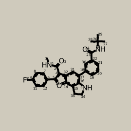 CNC(=O)c1c(-c2ccc(F)cc2)oc2c3c(c(-c4cccc(C(=O)NC(C)(C)C)c4)cc12)NCC3